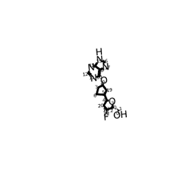 OC[C@H]1OC(C2CCC(Oc3ncnc4[nH]cnc34)C2)C[C@@H]1F